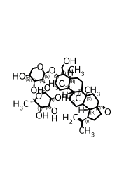 C=C(C)[C@@H]1CC[C@]2(C=O)CC[C@]3(C)C(CC[C@@H]4[C@@]5(C)CC[C@H](O[C@@H]6OC[C@H](O)[C@H](O)[C@H]6O[C@@H]6O[C@@H](C)[C@H](O)[C@@H](O)[C@H]6O)[C@@](C)(CO)[C@@H]5CC[C@]43C)[C@@H]12